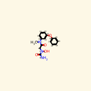 CN(C(=O)CN(O)C(N)=O)c1cccc(Oc2ccccc2)c1